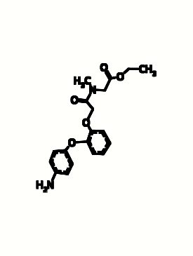 CCOC(=O)CN(C)C(=O)COc1ccccc1Oc1ccc(N)cc1